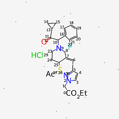 CCOC(=O)Cn1ccc(/C=C2/CN(C(C(=O)C3CC3)c3ccccc3F)CCC2SC(C)=O)n1.Cl